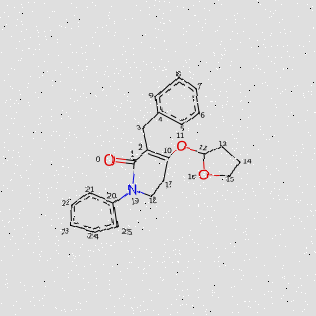 O=C1C(Cc2ccccc2)=C(OC2CCCO2)CCN1c1ccccc1